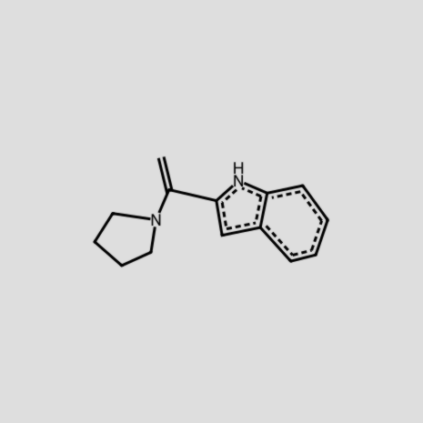 C=C(c1cc2ccccc2[nH]1)N1CCCC1